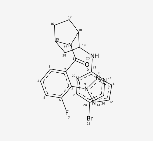 O=C(c1cccc(F)c1-n1nccn1)N1C2CCC1C(Nc1ncc(Br)cn1)C2